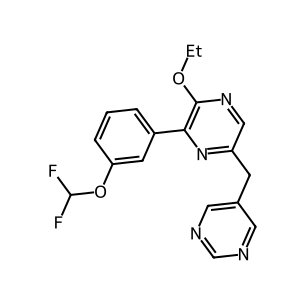 CCOc1ncc(Cc2cncnc2)nc1-c1cccc(OC(F)F)c1